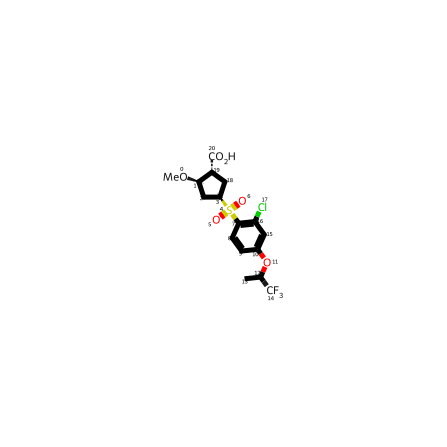 CO[C@@H]1C[C@H](S(=O)(=O)c2ccc(OC(C)C(F)(F)F)cc2Cl)C[C@H]1C(=O)O